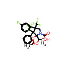 CCOC1(C(C)O)N(C(=O)O)CC(C(F)(F)F)(C(F)(F)F)C1(c1ccccc1)c1ccc(F)cc1